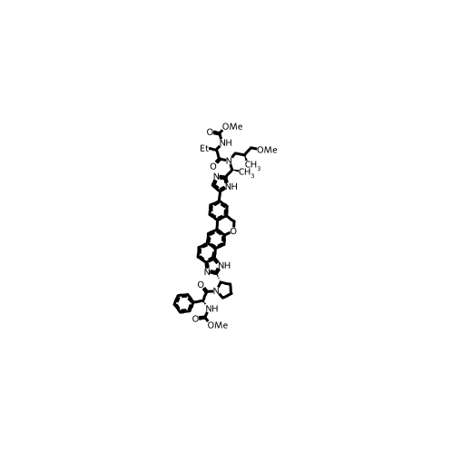 CCC(NC(=O)OC)C(=O)N(C[C@H](C)COC)[C@@H](C)c1ncc(-c2ccc3c(c2)COc2cc4c(ccc5nc([C@@H]6CCCN6C(=O)[C@H](NC(=O)OC)c6ccccc6)[nH]c54)cc2-3)[nH]1